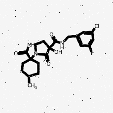 CC1CCC(C(N)=O)(N2CCC(O)(C(=O)NCc3cc(F)cc(Cl)c3)C2=O)CC1